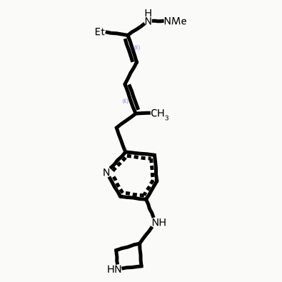 CC/C(=C\C=C(/C)Cc1ccc(NC2CNC2)cn1)NNC